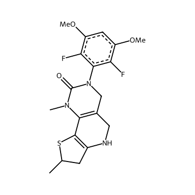 COc1cc(OC)c(F)c(N2CC3=C(C4=C(CC(C)S4)NC3)N(C)C2=O)c1F